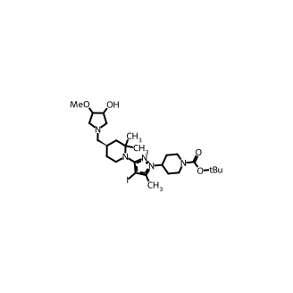 COC1CN(C[C@@H]2CCN(c3nn(C4CCN(C(=O)OC(C)(C)C)CC4)c(C)c3I)C(C)(C)C2)CC1O